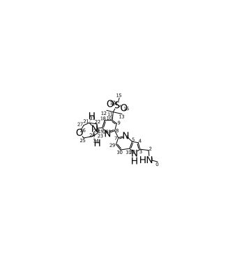 CNCc1cc2nc(-c3cc(C(C)(C)S(C)(=O)=O)cc(N4[C@@H]5CC[C@H]4COC5)n3)ccc2[nH]1